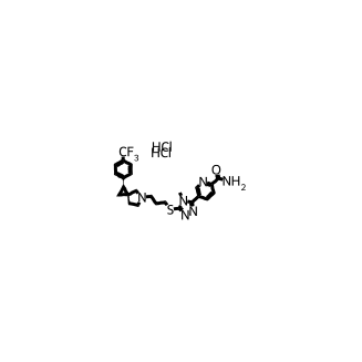 Cl.Cl.Cn1c(SCCCN2CC[C@]3(C[C@@H]3c3ccc(C(F)(F)F)cc3)C2)nnc1-c1ccc(C(N)=O)nc1